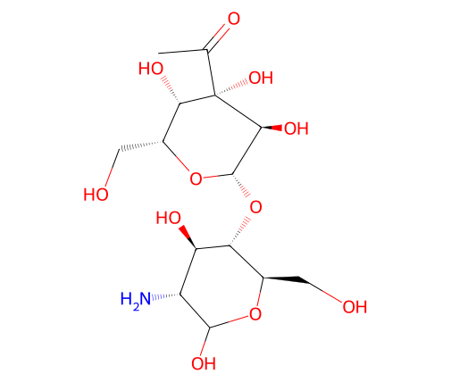 CC(=O)[C@@]1(O)[C@@H](O)[C@H](O[C@H]2[C@H](O)[C@@H](N)C(O)O[C@@H]2CO)O[C@H](CO)[C@@H]1O